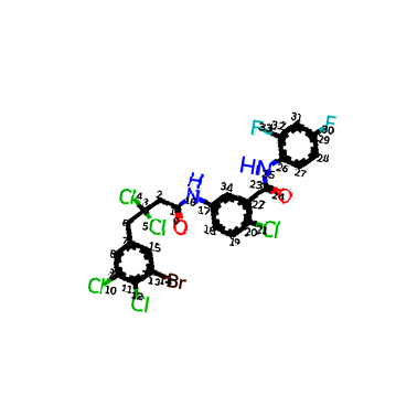 O=C(CC(Cl)(Cl)Cc1cc(Cl)c(Cl)c(Br)c1)Nc1ccc(Cl)c(C(=O)Nc2ccc(F)cc2F)c1